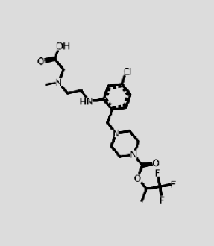 CC(OC(=O)N1CCN(Cc2ccc(Cl)cc2NCCN(C)CC(=O)O)CC1)C(F)(F)F